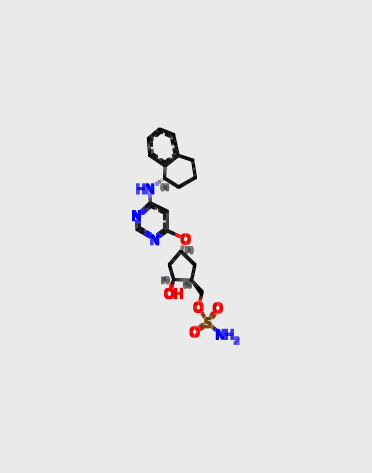 NS(=O)(=O)OC[C@@H]1C[C@@H](Oc2cc(N[C@H]3CCCc4ccccc43)ncn2)C[C@@H]1O